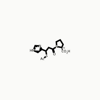 CC(=O)SC(CC(=O)N1CCC[C@H]1C(=O)O)c1c[nH]cn1